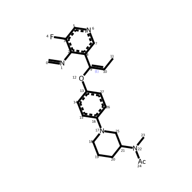 C=Nc1c(F)cncc1/C(=C\C)Oc1ccc(N2CCCC(N(C)C(C)=O)C2)cc1